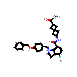 COC(=O)C1CC2(CC(NC(=O)c3ccc(F)c4ccn(Cc5ccc(OCc6ccccc6)cc5)c34)C2)C1